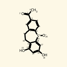 CC(=O)c1ccc2c(c1)CCc1c(O)cc(O)cc1[S+]2[O-]